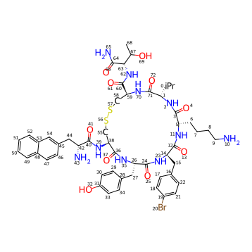 CC(C)[C@@H]1NC(=O)[C@H](CCCCN)NC(=O)[C@@H](Cc2ccc(Br)cc2)NC(=O)[C@H](Cc2ccc(O)cc2)NC(=O)[C@@H](NC(=O)[C@H](N)Cc2ccc3ccccc3c2)CSSC[C@@H](C(=O)N[C@H](C(N)=O)C(C)O)NC1=O